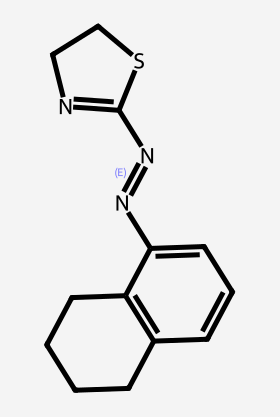 c1cc2c(c(/N=N/C3=NCCS3)c1)CCCC2